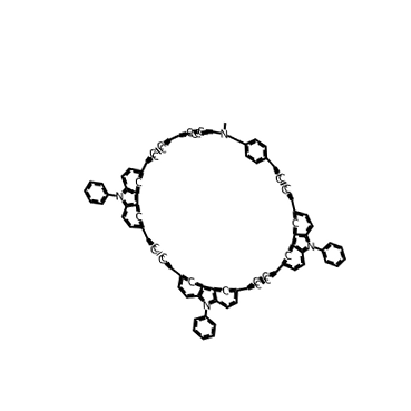 CN1c2ccc(cc2)-c2ccc(cc2)-c2ccc3c(c2)c2cc(ccc2n3-c2ccccc2)-c2ccc(cc2)-c2ccc3c(c2)c2cc(ccc2n3-c2ccccc2)-c2ccc(cc2)-c2ccc3c(c2)c2cc(ccc2n3-c2ccccc2)-c2ccc(cc2)-c2ccc1cc2